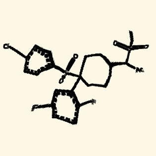 CC(=O)C(C1CCC(c2cc(F)ccc2F)(S(=O)(=O)c2ccc(Cl)cc2)CC1)S(C)(=O)=O